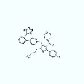 CCCCc1nc(-c2ccc(F)cc2)c(C(=O)N2CCOCC2)n1Cc1ccc(-c2ccccc2-c2nnn[nH]2)cc1